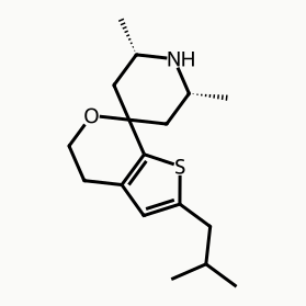 CC(C)Cc1cc2c(s1)C1(C[C@@H](C)N[C@@H](C)C1)OCC2